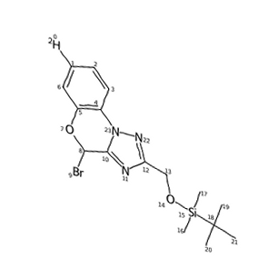 [2H]c1ccc2c(c1)OC(Br)c1nc(CO[Si](C)(C)C(C)(C)C)nn1-2